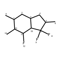 CC1CC2CC(C)C(F)(F)C2C(F)C1C